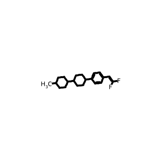 CC1CCC(C2CCC(c3ccc(C=C(F)F)cc3)CC2)CC1